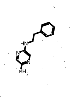 Nc1cnc(NCCc2ccccc2)cn1